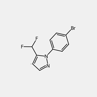 FC(F)c1[c]cnn1-c1ccc(Br)cc1